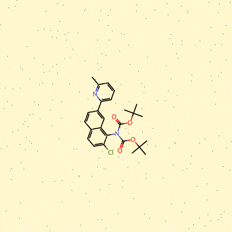 Cc1cccc(-c2ccc3ccc(Cl)c(N(C(=O)OC(C)(C)C)C(=O)OC(C)(C)C)c3c2)n1